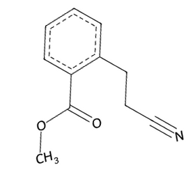 COC(=O)c1ccccc1CCC#N